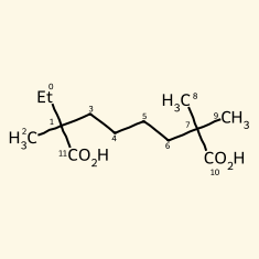 CCC(C)(CCCCC(C)(C)C(=O)O)C(=O)O